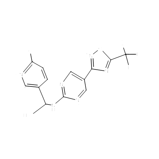 CC(Nc1ncc(-c2noc(C(F)(F)F)n2)cn1)c1ccc(Cl)nc1